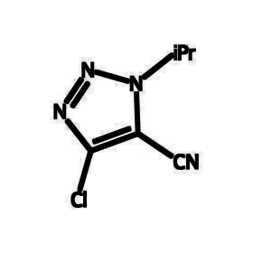 CC(C)n1nnc(Cl)c1C#N